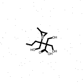 CCCC(CO)(N1CC1C)C(CO)(CO)C(=O)O